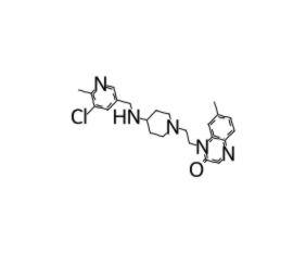 Cc1ccc2ncc(=O)n(CCN3CCC(NCc4cnc(C)c(Cl)c4)CC3)c2c1